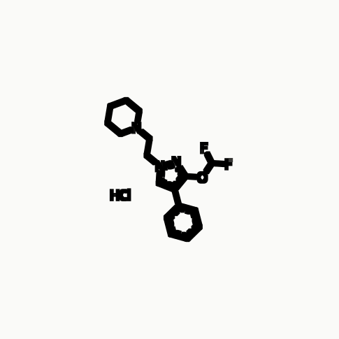 Cl.FC(F)Oc1nn(CCN2CCCCC2)cc1-c1ccccc1